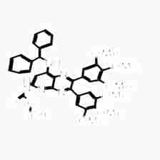 CCCCOC(=O)Nc1cc(NC(c2ccccc2)c2ccccc2)c2nc(-c3cc(OC)c(OC)c(OC)c3)c(-c3cc(OC)c(OC)c(OC)c3)nc2n1